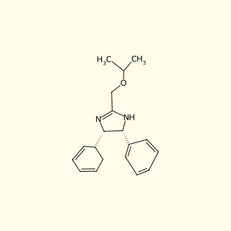 CC(C)OCC1=N[C@@H](C2C=CC=CC2)[C@@H](c2ccccc2)N1